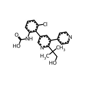 CC(C)(CO)c1ncc(-c2c(Cl)cccc2NC(=O)O)cc1-c1ccncc1